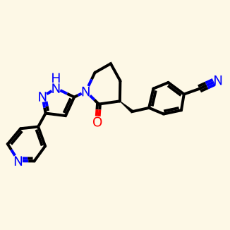 N#Cc1ccc(C[C@@H]2CCCN(c3cc(-c4ccncc4)n[nH]3)C2=O)cc1